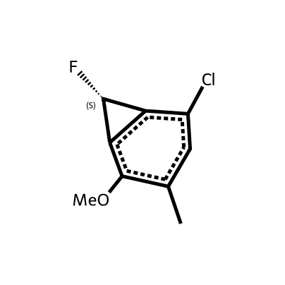 COc1c(C)cc(Cl)c2c1[C@@H]2F